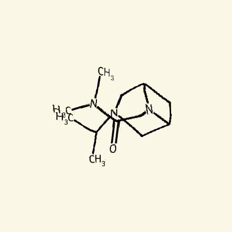 CC(C)N1CC2CC(C1)N2C(=O)N(C)C